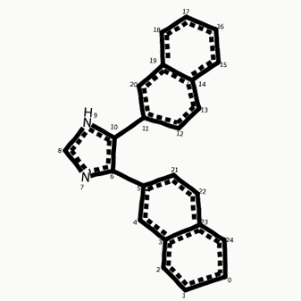 c1ccc2cc(-c3nc[nH]c3-c3ccc4ccccc4c3)ccc2c1